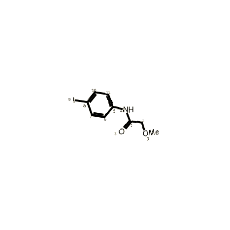 COCC(=O)Nc1ccc(I)cc1